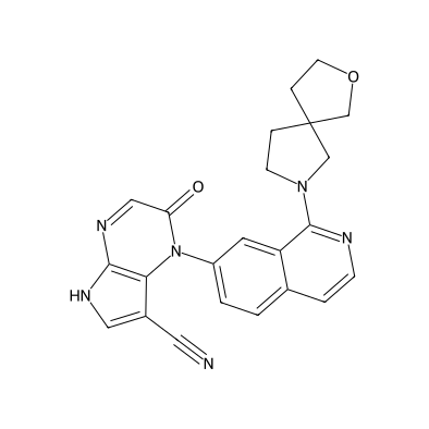 N#Cc1c[nH]c2ncc(=O)n(-c3ccc4ccnc(N5CCC6(CCOC6)C5)c4c3)c12